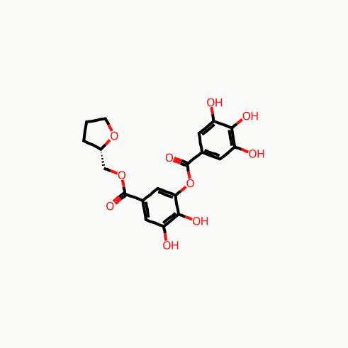 O=C(OC[C@@H]1CCCO1)c1cc(O)c(O)c(OC(=O)c2cc(O)c(O)c(O)c2)c1